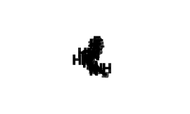 CCCCNc1nccc(-c2cc(-c3nc4ccc(C(F)(F)F)cc4[nH]3)c(=O)[nH]n2)n1